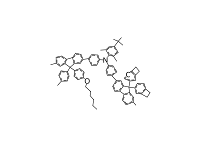 CCCCCCOc1ccc(C2(c3ccc(C)cc3)c3cc(C)ccc3-c3ccc(-c4ccc(N(c5ccc(-c6ccc7c(c6)C(c6ccc8c(c6)CC8)(c6ccc8c(c6)CC8)c6cc(C)ccc6-7)cc5)c5c(C)cc(C(C)(C)C)cc5C)cc4)cc32)cc1